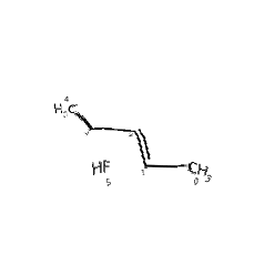 CC=CCC.F